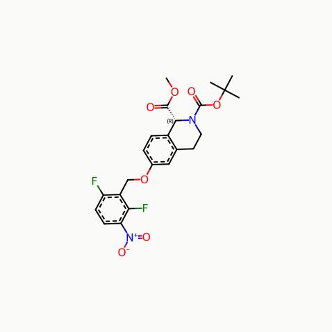 COC(=O)[C@H]1c2ccc(OCc3c(F)ccc([N+](=O)[O-])c3F)cc2CCN1C(=O)OC(C)(C)C